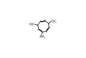 CC1/C=C\C(N)=C/C(C)/C=C\1